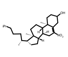 CC(C)CCC[C@@H](C)[C@H]1CC[C@H]2[C@@H]3CC([N+](=O)[O-])=C4CC(O)CC[C@]4(C)[C@H]3CC[C@]12C